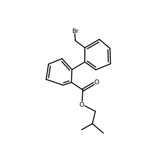 CC(C)COC(=O)c1ccccc1-c1ccccc1CBr